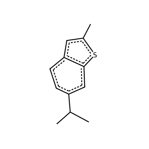 Cc1cc2ccc(C(C)C)cc2s1